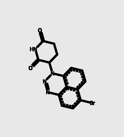 O=C1CCC(N2N=Nc3ccc(Br)c4cccc2c34)C(=O)N1